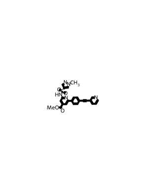 COC(=O)c1cc(NS(=O)(=O)c2cnn(C)c2)nc(-c2ccc(C#Cc3cccnc3)cc2)c1